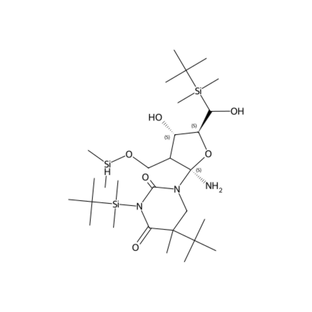 C[SiH](C)OCC1[C@H](O)[C@@H](C(O)[Si](C)(C)C(C)(C)C)O[C@@]1(N)N1CC(C)(C(C)(C)C)C(=O)N([Si](C)(C)C(C)(C)C)C1=O